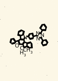 CC1(C)c2ccccc2-c2c1c1oc3ccccc3c1c1c3ccccc3n(-c3ccc(-c4nc(-c5ccccc5)nc(-c5ccccc5)n4)cc3)c21